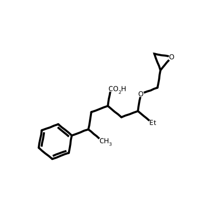 CCC(CC(CC(C)c1ccccc1)C(=O)O)OCC1CO1